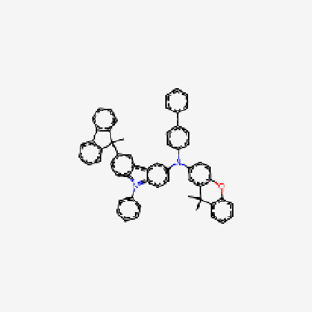 CC1(C)c2ccccc2Oc2ccc(N(c3ccc(-c4ccccc4)cc3)c3ccc4c(c3)c3cc(C5(C)c6ccccc6-c6ccccc65)ccc3n4-c3ccccc3)cc21